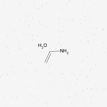 C=CN.O